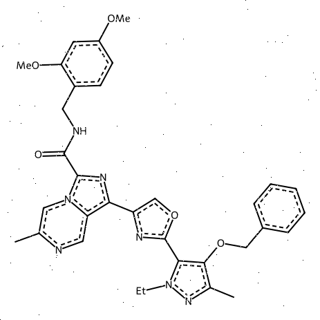 CCn1nc(C)c(OCc2ccccc2)c1-c1nc(-c2nc(C(=O)NCc3ccc(OC)cc3OC)n3cc(C)ncc23)co1